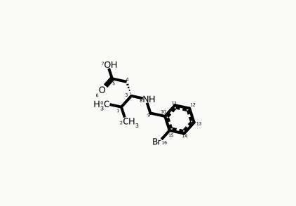 CC(C)[C@H](CC(=O)O)NCc1ccccc1Br